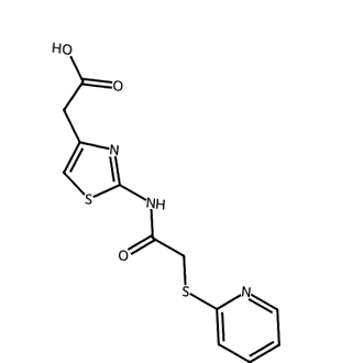 O=C(O)Cc1csc(NC(=O)CSc2ccccn2)n1